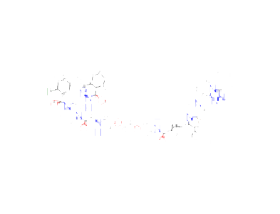 Cc1sc(CN2CCCC2c2nnc3n2CCCCC3)nc1C12CC(C(=O)NCCOCCOCCNCC(=O)N3CCN(C(=O)c4cc(Cc5n[nH]c(=O)c6ccccc56)ccc4F)CC3)(C1)C2